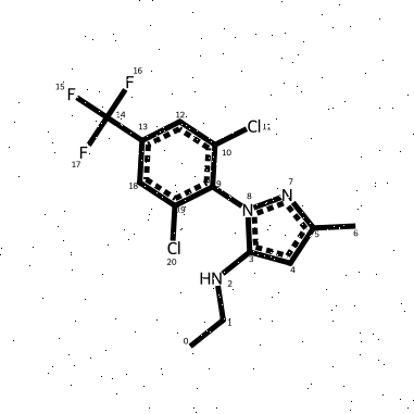 CCNc1cc(C)nn1-c1c(Cl)cc(C(F)(F)F)cc1Cl